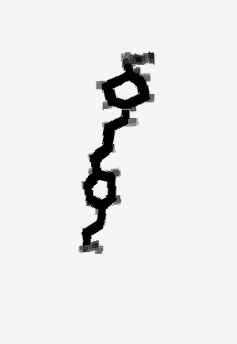 CC=CC1CCC(CCCC[C@H]2CC[C@H](CCCCC)CC2)CC1